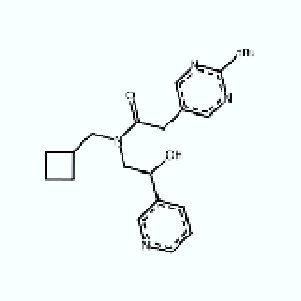 CC(C)(C)c1ncc(CC(=O)N(CC2CCC2)CC(O)c2cccnc2)cn1